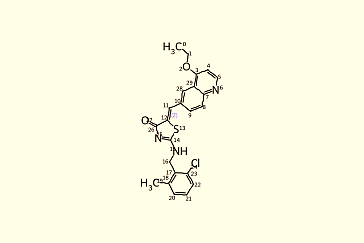 CCOc1ccnc2ccc(/C=C3\SC(NCc4c(C)cccc4Cl)=NC3=O)cc12